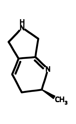 C[C@H]1CC=C2CNCC2=N1